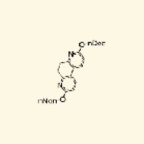 CCCCCCCCCCOc1ccc2c(n1)CCc1nc(OCCCCCCCCC)ccc1-2